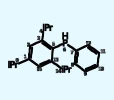 CC(C)c1cc(C(C)C)c(Pc2ccccc2)c(C(C)C)c1